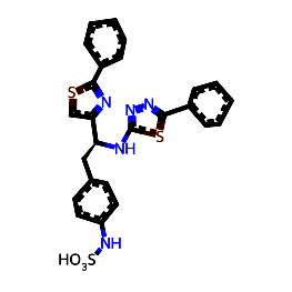 O=S(=O)(O)Nc1ccc(C[C@H](Nc2nnc(-c3ccccc3)s2)c2csc(-c3ccccc3)n2)cc1